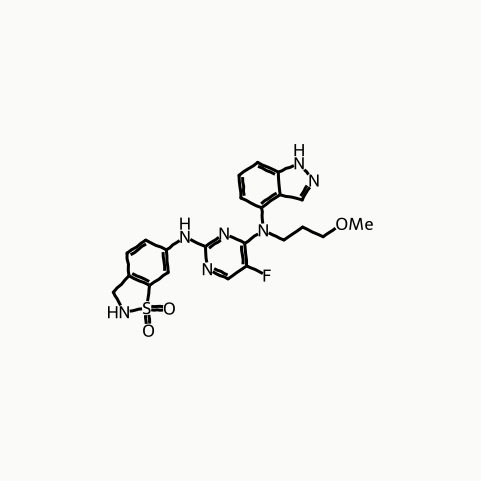 COCCCN(c1nc(Nc2ccc3c(c2)S(=O)(=O)NC3)ncc1F)c1cccc2[nH]ncc12